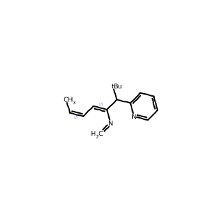 C=N/C(=C\C=C/C)C(c1ccccn1)C(C)(C)C